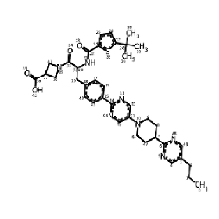 CCCc1cnc(C2CCN(c3cnc(-c4ccc(C[C@H](NC(=O)c5ccc(C(C)(C)C)s5)C(=O)N5CC(C(=O)O)C5)cc4)nc3)CC2)nc1